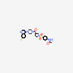 CC(=O)Nc1ccc(S(=O)(=O)N2CC[C@@H](C(=O)N3CCN(c4ccnc5cc(F)ccc45)CC3)C2)cc1